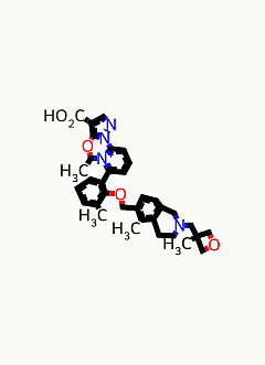 Cc1cccc(-c2cccc3[n+]2C(C)Oc2c(C(=O)O)cnn2-3)c1OCc1ccc2c(c1C)CCN(CC1(C)COC1)C2